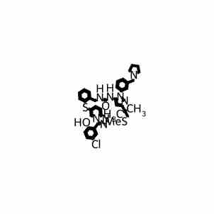 CSCC(C)(C)c1cc(NC(=O)NCc2ccccc2Sc2ccc3nnc(-c4cc(Cl)ccc4O)n3c2)n(-c2cccc(CN3CCCC3)c2)n1